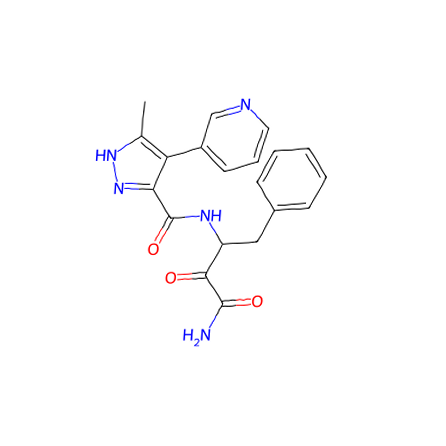 Cc1[nH]nc(C(=O)NC(Cc2ccccc2)C(=O)C(N)=O)c1-c1cccnc1